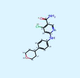 NC(=O)c1cnc(Nc2ccc(C3CCOCC3)cc2)cc1Cl